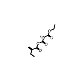 C=C(CC)C(=O)OC(=O)NC(=O)OCC